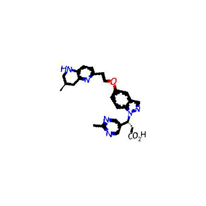 Cc1ncc([C@@H](CC(=O)O)n2ncc3cc(OCCc4ccc5c(n4)C[C@@H](C)CN5)ccc32)cn1